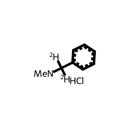 Cl.[2H]C([2H])(NC)c1ccccc1